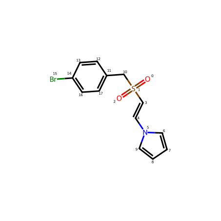 O=S(=O)(C=Cn1cccc1)Cc1ccc(Br)cc1